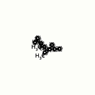 Cc1ccc(N(c2ccc(-c3ccc(-c4ccccc4)cc3)c(-c3ccccc3)c2)c2ccc3c(c2)C(C)(C)c2cc(-n4c5ccccc5c5ccccc54)ccc2-3)cc1